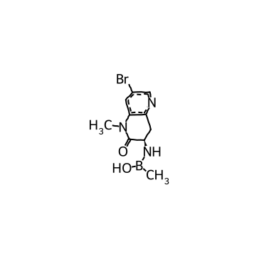 CB(O)N[C@@H]1Cc2ncc(Br)cc2N(C)C1=O